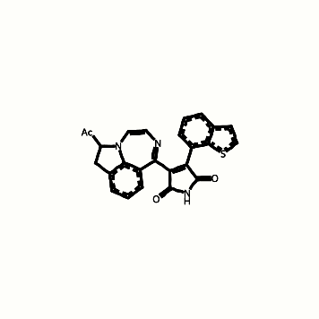 CC(=O)C1Cc2cccc3c2N1C=CN=C3C1=C(c2cccc3ccsc23)C(=O)NC1=O